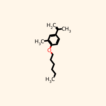 C=C(C)c1ccc(OCCCCCC)c(C)c1